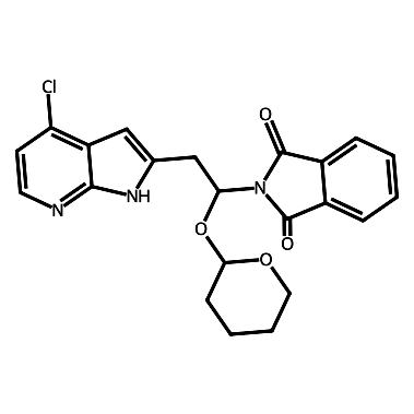 O=C1c2ccccc2C(=O)N1C(Cc1cc2c(Cl)ccnc2[nH]1)OC1CCCCO1